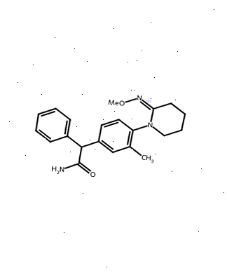 CO/N=C1/CCCCN1c1ccc(C(C(N)=O)c2ccccc2)cc1C